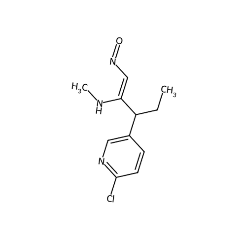 CCC(/C(=C/N=O)NC)c1ccc(Cl)nc1